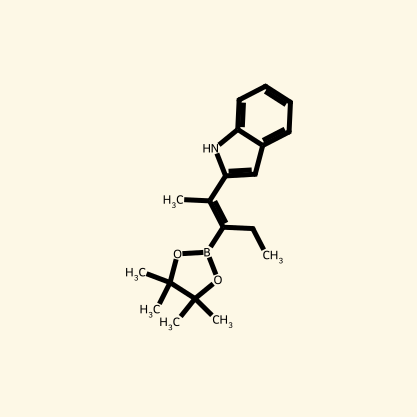 CC/C(B1OC(C)(C)C(C)(C)O1)=C(/C)c1cc2ccccc2[nH]1